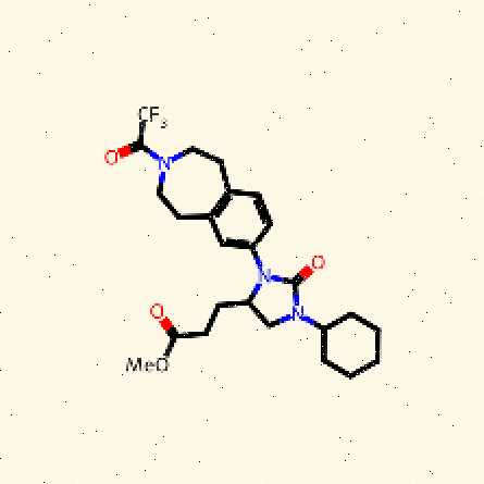 COC(=O)CCC1CN(C2CCCCC2)C(=O)N1c1ccc2c(c1)CCN(C(=O)C(F)(F)F)CC2